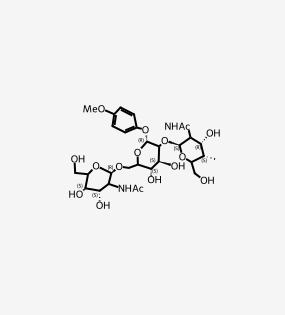 COc1ccc(O[C@H]2OC(CO[C@@H]3OC(CO)[C@@H](O)[C@@H](O)C3NC(C)=O)[C@@H](O)[C@H](O)C2O[C@@H]2OC(CO)[C@@H](C)[C@@H](O)C2NC(C)=O)cc1